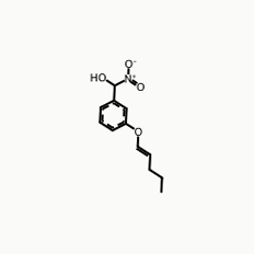 CCCC=COc1cccc(C(O)[N+](=O)[O-])c1